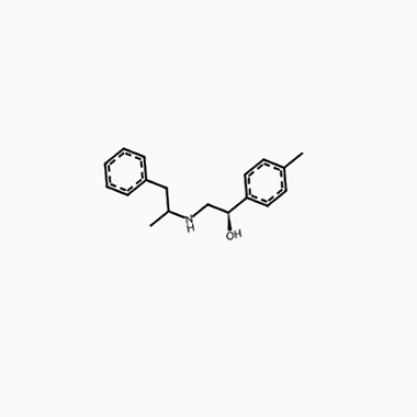 Cc1ccc([C@@H](O)CNC(C)Cc2ccccc2)cc1